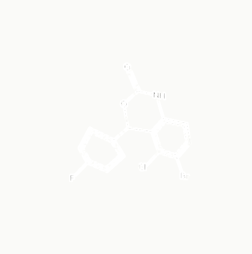 O=C1Nc2ccc(Br)c(Cl)c2C(c2ccc(F)cc2)O1